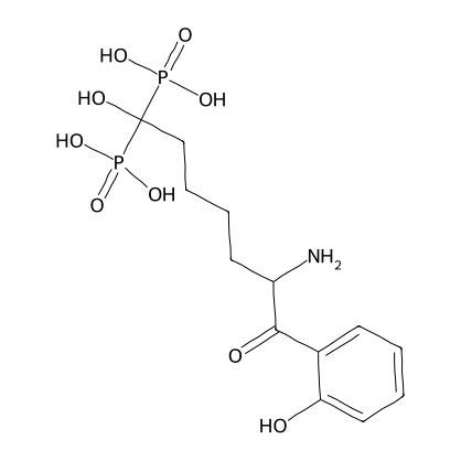 NC(CCCCC(O)(P(=O)(O)O)P(=O)(O)O)C(=O)c1ccccc1O